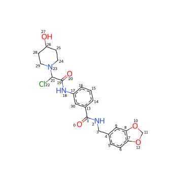 O=C(NCc1ccc2c(c1)OCO2)c1cccc(NC(=O)C(Cl)N2CCC(O)CC2)c1